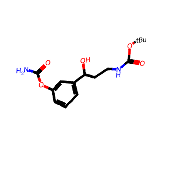 CC(C)(C)OC(=O)NCCC(O)c1cccc(OC(N)=O)c1